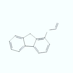 C=COc1cccc2c1Cc1ccccc1-2